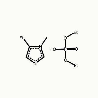 CCOP(=O)(O)OCC.CCc1cncn1C